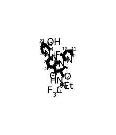 CC[C@@H](NC(=O)c1cn(-c2ncccc2F)c2nc(N3CC4CC4(O)C3)ccc2c1=O)C(F)(F)F